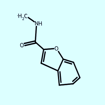 [CH2]NC(=O)c1cc2ccccc2o1